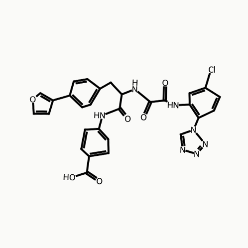 O=C(Nc1cc(Cl)ccc1-n1cnnn1)C(=O)NC(Cc1ccc(-c2ccoc2)cc1)C(=O)Nc1ccc(C(=O)O)cc1